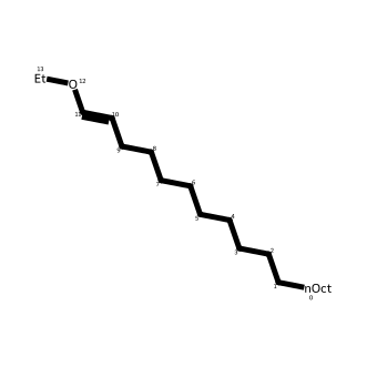 CCCCCCCCCCCCCCCCCC=COCC